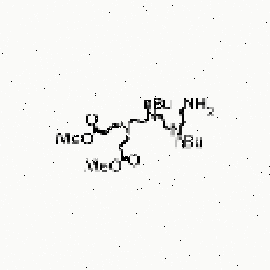 CCCCN(CCN)CCN(CCCC)CCN(CCC(=O)OC)CCC(=O)OC